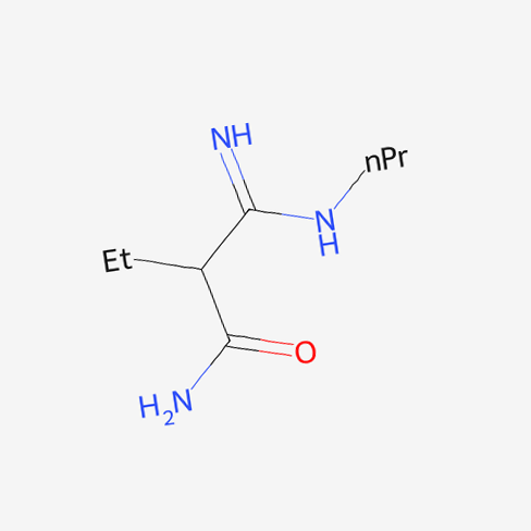 CCCNC(=N)C(CC)C(N)=O